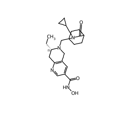 CC[C@H]1Cc2ncc(C(=O)NO)cc2CN1CC12CCC(CC1)C(=O)N2C1CC1